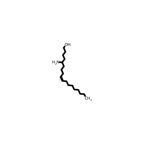 CCCCCCCC/C=C\CCCC(N)CCCCO